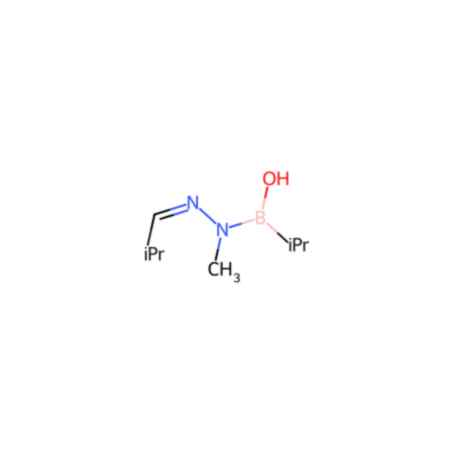 CC(C)/C=N\N(C)B(O)C(C)C